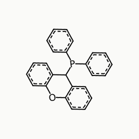 c1ccc(P(c2ccccc2)C2c3ccccc3Oc3ccccc32)cc1